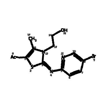 CC(=O)c1sc(=Nc2ccc(Br)cn2)n(CCO)c1C